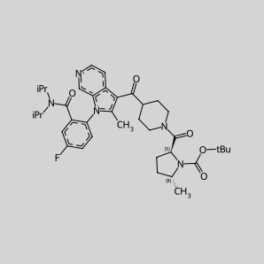 Cc1c(C(=O)C2CCN(C(=O)[C@@H]3CC[C@@H](C)N3C(=O)OC(C)(C)C)CC2)c2ccncc2n1-c1ccc(F)cc1C(=O)N(C(C)C)C(C)C